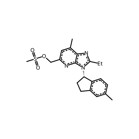 CCc1nc2c(C)cc(COS(C)(=O)=O)nc2n1[C@H]1CCc2cc(C)ccc21